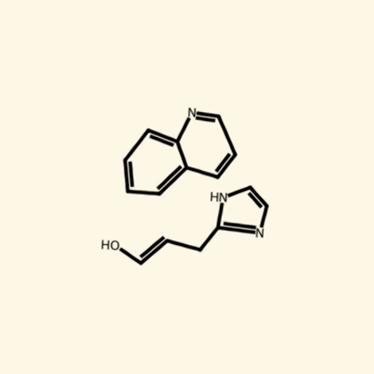 OC=CCc1ncc[nH]1.c1ccc2ncccc2c1